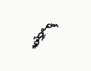 CC(C)N1CCN(c2c(F)cc(OCCN3CCC(C)(O)CC3)cc2F)CC1